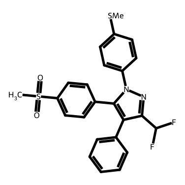 CSc1ccc(-n2nc(C(F)F)c(-c3ccccc3)c2-c2ccc(S(C)(=O)=O)cc2)cc1